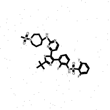 CC(C)(C)c1nc(-c2cccc(NS(=O)(=O)c3c(F)cccc3F)c2F)c(-c2ccnc(NC3CCCN(S(C)(=O)=O)CC3)n2)s1